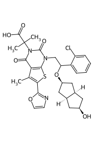 Cc1c(-c2ncco2)sc2c1c(=O)n(C(C)(C)C(=O)O)c(=O)n2CC(O[C@H]1C[C@H]2C[C@@H](O)C[C@H]2C1)c1ccccc1Cl